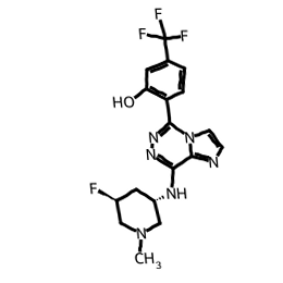 CN1C[C@@H](F)C[C@H](Nc2nnc(-c3ccc(C(F)(F)F)cc3O)n3ccnc23)C1